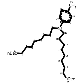 CCCCCCCCCCCCCCCCCCN(CCCCCCCCCCCCCCCCCC)c1ccc(C)cc1